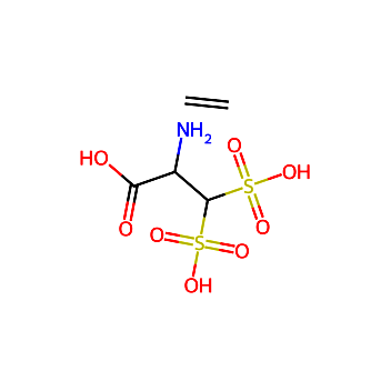 C=C.NC(C(=O)O)C(S(=O)(=O)O)S(=O)(=O)O